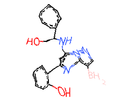 Bc1cnn2c(N[C@@H](CO)c3ccccc3)cc(-c3ccccc3O)nc12